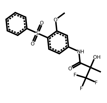 COc1cc(NC(=O)C(C)(O)C(F)(F)F)ccc1S(=O)(=O)c1ccccc1